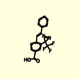 O=C(O)c1ccc(C=Cc2ccccc2)c(C2(C(F)(F)F)N=N2)c1